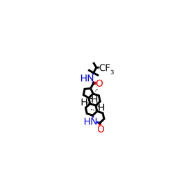 CC(C(F)(F)F)C(C)(C)NC(=O)C1CC[C@H]2[C@@H]3CCC4NC(=O)CC[C@]4(C)[C@@H]3CC[C@]12C